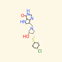 O=c1[nH]cnc2c(CN3C[C@H](CSc4ccc(Cl)cc4)[C@@H](O)C3)c[nH]c12